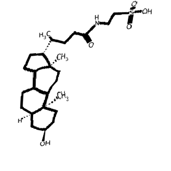 CC(CCC(=O)NCCS(=O)(=O)O)[C@H]1CCC2C3CC[C@@H]4C[C@H](O)CC[C@]4(C)C3CC[C@@]21C